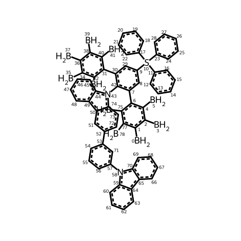 Bc1c(B)c(B)c(-c2cc(S(c3ccccc3)(c3ccccc3)c3ccccc3)cc(-c3c(B)c(B)c(B)c(B)c3B)c2-n2c3ccccc3c3cc(-c4cccc(-n5c6ccccc6c6ccccc65)c4)ccc32)c(B)c1B